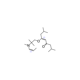 C/C=C\N(C)C(C)(C)CO/C(=C\C(=O)CC(C)C)CC(C)C